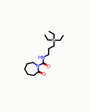 CC[Si](CC)(CC)CCCNC(=O)N1CCCCCC1=O